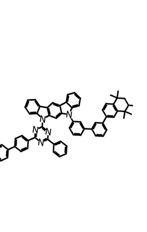 CC1CC(C)(C)c2ccc(-c3cccc(-c4cccc(-n5c6ccccc6c6cc7c8ccccc8n(-c8nc(-c9ccccc9)nc(-c9ccc(-c%10ccccc%10)cc9)n8)c7cc65)c4)c3)cc2C1(C)C